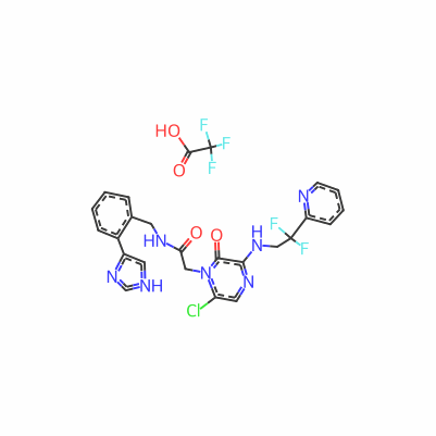 O=C(Cn1c(Cl)cnc(NCC(F)(F)c2ccccn2)c1=O)NCc1ccccc1-c1c[nH]cn1.O=C(O)C(F)(F)F